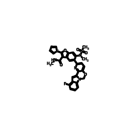 CNC(=O)c1c(-n2cccc2)oc2cc(N(C)S(C)(=O)=O)c(-c3ccc4c(n3)-c3cc5c(F)cccc5n3CO4)cc12